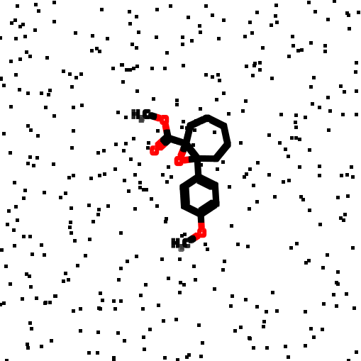 COC(=O)C12CCCCCC1(c1ccc(OC)cc1)O2